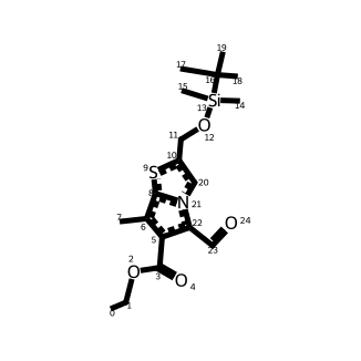 CCOC(=O)c1c(C)c2sc(CO[Si](C)(C)C(C)(C)C)cn2c1C=O